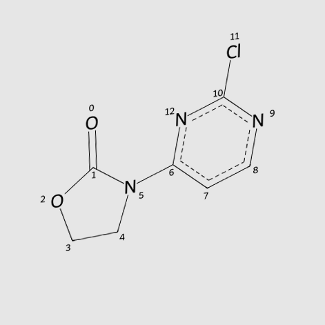 O=C1OCCN1c1ccnc(Cl)n1